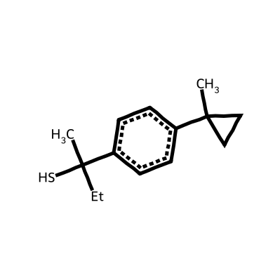 CCC(C)(S)c1ccc(C2(C)CC2)cc1